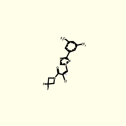 O=C(/C(Cl)=C\n1cnc(-c2cc(C(F)(F)F)cc(C(F)(F)F)c2)n1)N1CC(F)(F)C1